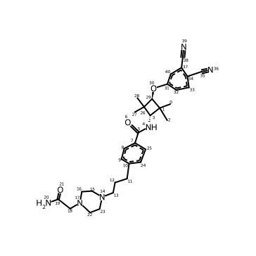 CC1(C)[C@H](NC(=O)c2ccc(CCCN3CCN(CC(N)=O)CC3)cc2)C(C)(C)[C@H]1Oc1ccc(C#N)c(C#N)c1